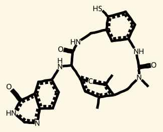 Cc1cc2cc(C)c1CN(C)C(=O)Nc1ccc(S)c(c1)CNC(=O)C2Nc1ccc2nc[nH]c(=O)c2c1